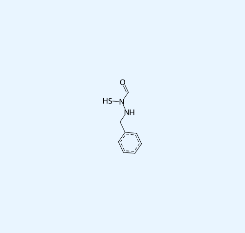 O=CN(S)NCc1ccccc1